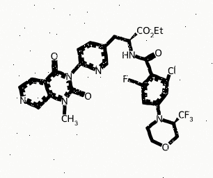 CCOC(=O)[C@H](Cc1ccc(-n2c(=O)c3ccncc3n(C)c2=O)nc1)NC(=O)c1c(F)cc(N2CCOC[C@@H]2C(F)(F)F)cc1Cl